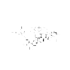 CCC(O)(CC)CCCS[C@H](C)[C@H]1[C@@H](O)C[C@H]2C3=CC=C4C[C@@H](O[Si](C)(C)C(C)(C)C)C[C@H](O[Si](C)(C)C(C)(C)C)[C@]4(C)[C@H]3CC[C@]12C